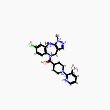 CCn1ncc2c1Nc1cc(Cl)ccc1N(C(=O)C1CCN(c3ncccc3C)CC1)C2